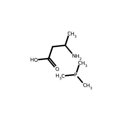 CC(N)CC(=O)O.CP(C)C